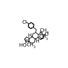 CN1C(=O)C=C[C@@]2(C)C1C(Cc1ccc(Cl)cc1)C[C@@H]1[C@H]2CC[C@]2(C)C(O)CC[C@@H]12